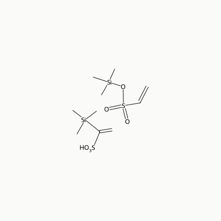 C=C([Si](C)(C)C)S(=O)(=O)O.C=CS(=O)(=O)O[Si](C)(C)C